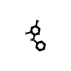 Fc1cc(Br)cnc1Nc1ccccc1